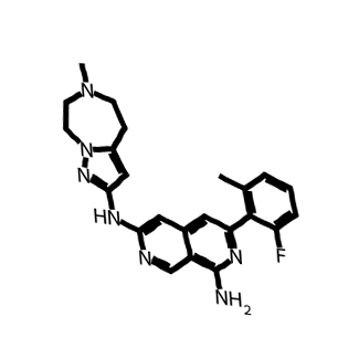 Cc1cccc(F)c1-c1cc2cc(Nc3cc4n(n3)CCN(C)CC4)ncc2c(N)n1